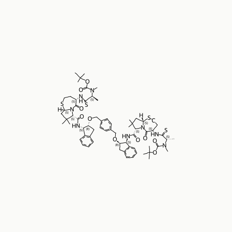 C[C@@H](C(=S)N[C@H]1CCS[C@H]2CC(C)(C)[C@@H](C(=O)N[C@H]3c4ccccc4C[C@H]3OCc3ccc(CO[C@@H]4Cc5ccccc5[C@@H]4NC(=O)[C@H]4N5C(=O)[C@@H](NC(=S)[C@H](C)N(C)C(=O)OC(C)(C)C)CCS[C@H]5CC4(C)C)cc3)N2C1=O)N(C)C(=O)OC(C)(C)C